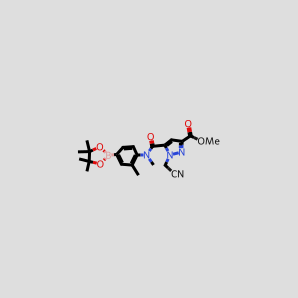 COC(=O)c1cc(C(=O)N(C)c2ccc(B3OC(C)(C)C(C)(C)O3)cc2C)n(CC#N)n1